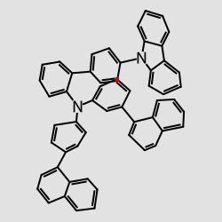 c1cc(-c2cccc3ccccc23)cc(N(c2ccc(-c3cccc4ccccc34)cc2)c2ccccc2-c2ccc(-n3c4ccccc4c4ccccc43)cc2)c1